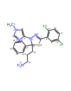 Cn1cnc(N2N=C(c3cc(F)ccc3F)SC2(CCCN)c2ccccc2)c1